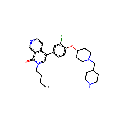 CCCCn1cc(-c2ccc(OC3CCN(CC4CCNCC4)CC3)c(F)c2)c2ccncc2c1=O